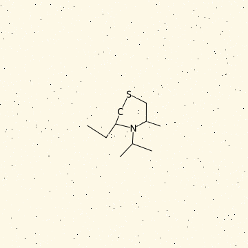 CCC1CSCC(C)N1C(C)C